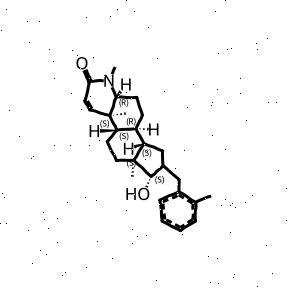 Cc1ccccc1CC1C[C@H]2[C@@H]3CC[C@H]4N(C)C(=O)C=C[C@]4(C)[C@H]3CC[C@]2(C)[C@H]1O